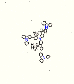 CC1(C)c2cc(-c3ccc4c5ccccc5n(-c5ccccc5)c4c3)ccc2-c2ccc(N(c3ccc4c(c3)C(C)(C)c3cc(-n5c6ccccc6c6ccccc65)ccc3-4)c3ccc(-c4ccc5c6ccccc6n(-c6ccccc6)c5c4)c4ccccc34)cc21